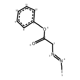 O=C(C/N=N/I)Oc1ccccc1